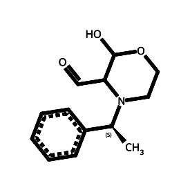 C[C@@H](c1ccccc1)N1CCOC(O)C1C=O